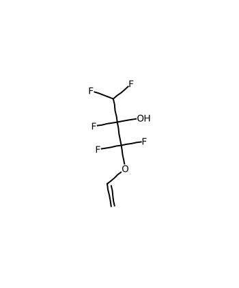 C=COC(F)(F)C(O)(F)C(F)F